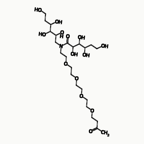 CC(=O)CCOCCOCCOCCOCCN(CC(O)C(O)C(O)CCO)C(=O)C(O)C(O)C(O)CCO